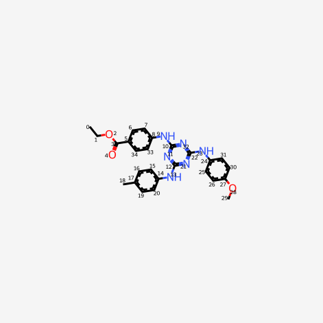 CCOC(=O)c1ccc(Nc2nc(Nc3ccc(C)cc3)nc(Nc3ccc(OC)cc3)n2)cc1